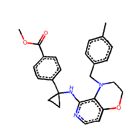 COC(=O)c1ccc(C2(Nc3nccc4c3N(Cc3ccc(C)cc3)CCO4)CC2)cc1